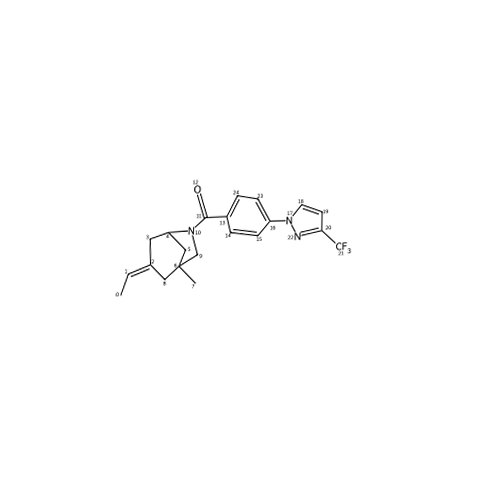 C/C=C1/CC2CC(C)(C1)CN2C(=O)c1ccc(-n2ccc(C(F)(F)F)n2)cc1